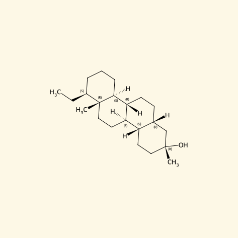 CC[C@H]1CCC[C@H]2[C@@H]3CC[C@@H]4C[C@](C)(O)CC[C@@H]4[C@H]3CC[C@]12C